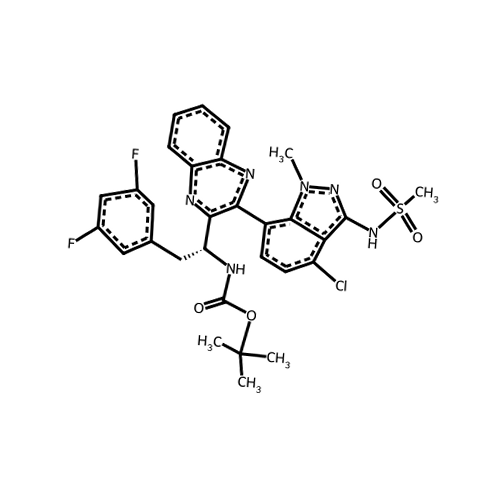 Cn1nc(NS(C)(=O)=O)c2c(Cl)ccc(-c3nc4ccccc4nc3[C@@H](Cc3cc(F)cc(F)c3)NC(=O)OC(C)(C)C)c21